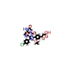 CC(C)(C)Oc1cc(C(=O)CC(=O)O)ccc1C1=N[C@@H](c2ccc(Cl)cc2)[C@@H](c2ncco2)N1C(=O)N1CCNC(=O)C1